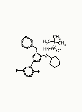 CC(C)(C)[S@+]([O-])N[C@@H](c1cc(-c2cc(F)ccc2F)cn1Cc1ccccc1)C1CCCCC1